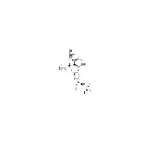 CC(C)(O)c1cc(-c2ccc(-c3cccc(S(C)(=O)=O)c3)s2)n(-c2ccccc2N=[N+]=[N-])n1